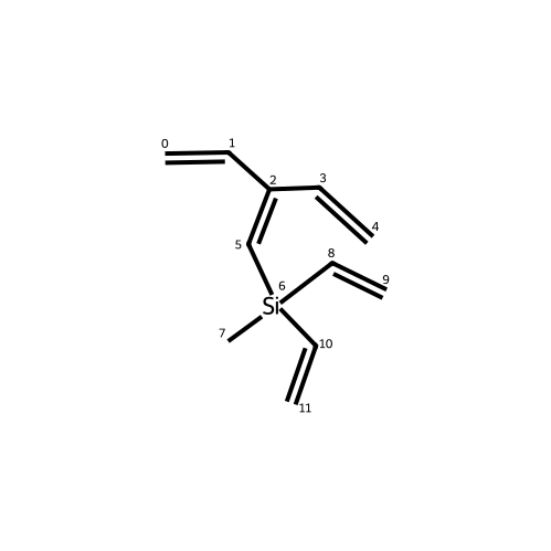 C=CC(C=C)=C[Si](C)(C=C)C=C